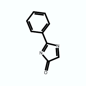 O=C1C=NC(c2cc[c]cc2)=N1